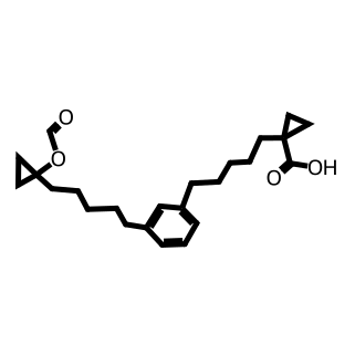 O=COC1(CCCCCc2cccc(CCCCCC3(C(=O)O)CC3)c2)CC1